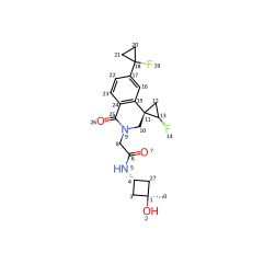 C[C@]1(O)C[C@H](NC(=O)CN2C[C@]3(C[C@H]3F)c3cc(C4(F)CC4)ccc3C2=O)C1